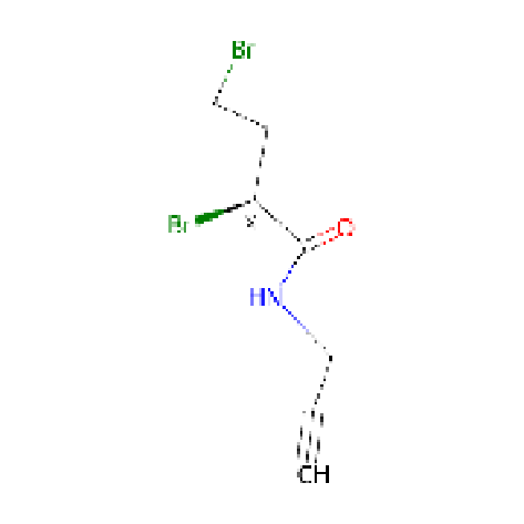 C#CCNC(=O)[C@@H](Br)CCBr